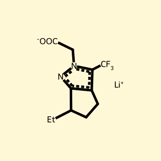 CCC1CCc2c1nn(CC(=O)[O-])c2C(F)(F)F.[Li+]